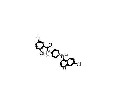 O=C(N[C@H]1CC[C@@H](Nc2ccnc3cc(Cl)ccc23)CC1)c1cc(Cl)ccc1O